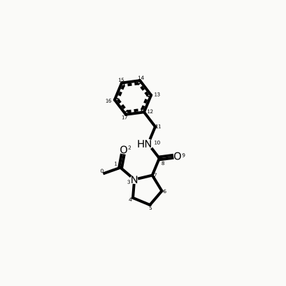 CC(=O)N1CCCC1C(=O)NCc1ccccc1